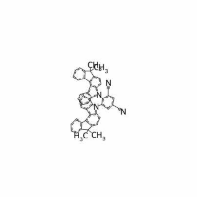 CC1(C)c2ccccc2-c2c1ccc1c2c2ccccc2n1-c1cc(C#N)cc(C#N)c1-n1c2ccccc2c2c3c(ccc21)C(C)(C)c1ccccc1-3